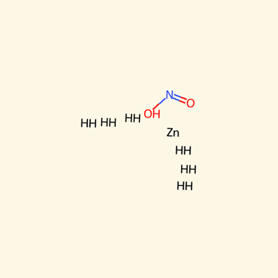 O=NO.[HH].[HH].[HH].[HH].[HH].[HH].[Zn]